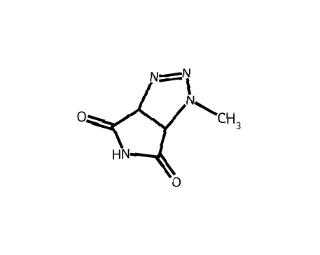 CN1N=NC2C(=O)NC(=O)C21